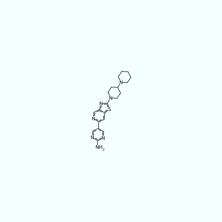 Nc1ncc(-c2cc3sc(N4CCC(N5CCCCC5)CC4)nc3cn2)cn1